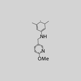 COc1ccc(CNC2=CC(C)[CH]C(C)=C2)cn1